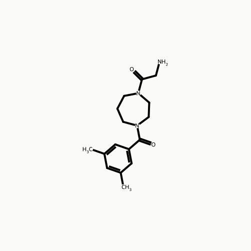 Cc1cc(C)cc(C(=O)N2CCCN(C(=O)CN)CC2)c1